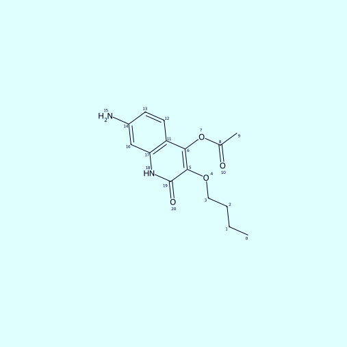 CCCCOc1c(OC(C)=O)c2ccc(N)cc2[nH]c1=O